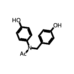 CC(=O)N(Cc1ccc(O)cc1)c1ccc(O)cc1